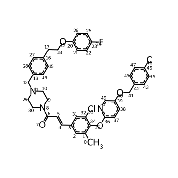 Cc1cc(/C=C/C(=O)N2CCN(Cc3ccc(CCOc4ccc(F)cc4)cc3)CC2)cc(Cl)c1Oc1ccc(OCc2ccc(Cl)cc2)cn1